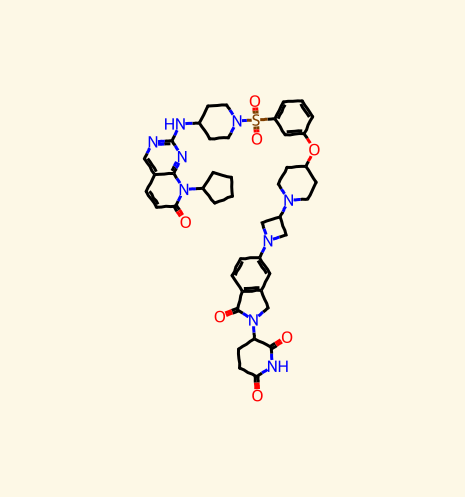 O=C1CCC(N2Cc3cc(N4CC(N5CCC(Oc6cccc(S(=O)(=O)N7CCC(Nc8ncc9ccc(=O)n(C%10CCCC%10)c9n8)CC7)c6)CC5)C4)ccc3C2=O)C(=O)N1